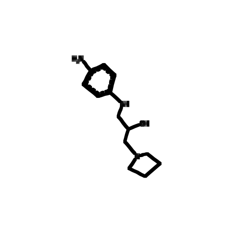 Nc1ccc(NCC(O)CN2CCCC2)cc1